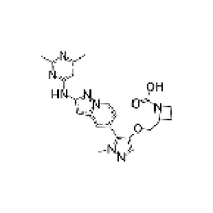 Cc1cc(Nc2cc3cc(-c4c(OCC5CCN5C(=O)O)cnn4C)ccn3n2)nc(C)n1